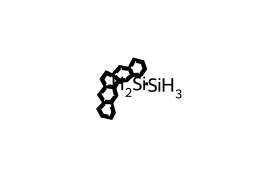 [SiH3][SiH2]c1cccc2cc3ccc4cc5ccccc5cc4c3cc12